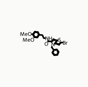 COc1ccc(CCNC(=O)c2cc3sc(Br)cc3n2Cc2ccccc2)cc1OC